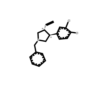 C=C[C@H]1CN(Cc2ccccc2)C[C@@H]1c1ccc(Cl)c(Cl)c1